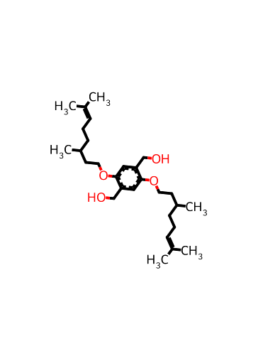 CC(C)=CCCC(C)CCOc1cc(CO)c(OCCC(C)CCC=C(C)C)cc1CO